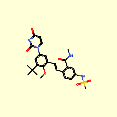 CNC(=O)c1cc(NS(C)(=O)=O)ccc1C=Cc1cc(-n2ccc(=O)[nH]c2=O)cc(C(C)(C)C)c1OC